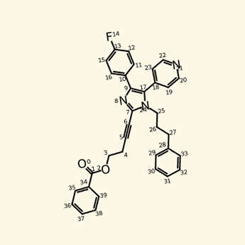 O=C(OCCC#Cc1nc(-c2ccc(F)cc2)c(-c2ccncc2)n1CCCc1ccccc1)c1ccccc1